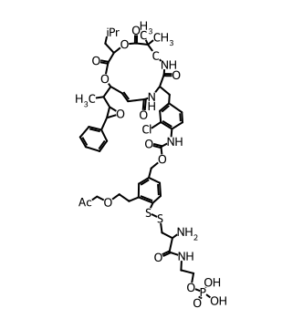 CC(=O)COCCc1cc(COC(=O)Nc2ccc(CC3NC(=O)/C=C/C(C(C)C4OC4c4ccccc4)OC(=O)C(CC(C)C)OC(=O)C(C)(C)CNC3=O)cc2Cl)ccc1SSCC(N)C(=O)NCCOP(=O)(O)O